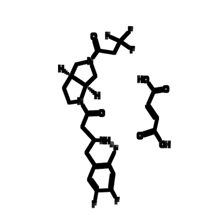 NC(CC(=O)N1CC[C@H]2CN(C(=O)CC(F)(F)F)C[C@H]21)Cc1cc(F)c(F)cc1F.O=C(O)C=CC(=O)O